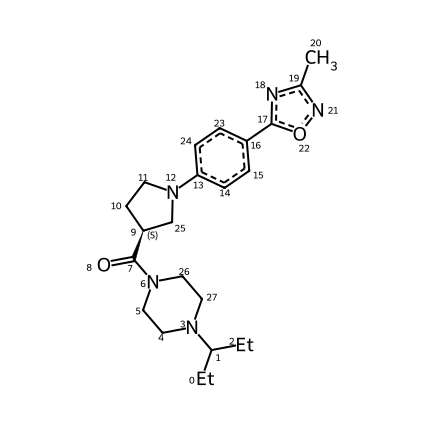 CCC(CC)N1CCN(C(=O)[C@H]2CCN(c3ccc(-c4nc(C)no4)cc3)C2)CC1